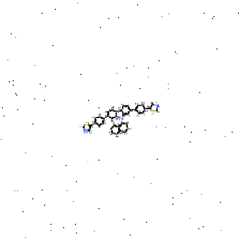 c1ccc2c(-n3c4cc(-c5ccc(-c6cncs6)cc5)ccc4c4ccc(-c5ccc(-c6cncs6)cc5)cc43)cccc2c1